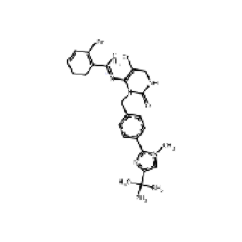 BC(C)(P)c1cn(C)c(-c2ccc(CN3C(=O)NCC(CC)=C3/N=C(\C)C3=C(C(C)C)C=CCC3)cc2)n1